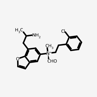 CC(N)Cc1cc([N@@+](C)(C=O)CCc2ccccc2Cl)cc2ccoc12